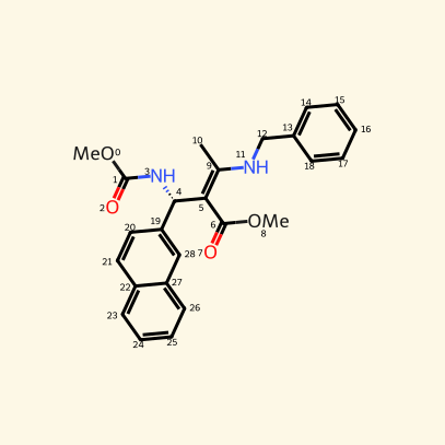 COC(=O)N[C@H](C(C(=O)OC)=C(C)NCc1ccccc1)c1ccc2ccccc2c1